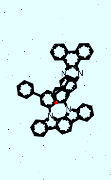 c1ccc(-c2cc(-c3ccccc3)cc(-n3c4ccccc4c4ccc5c6ccccc6n(-c6cccc(-c7cnc8c9ccccc9c9ccccc9c8n7)c6)c5c43)c2)cc1